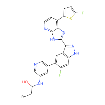 CC(C)CC(O)Nc1cncc(-c2cc3c(-c4nc5c(-c6ccc(F)s6)ccnc5[nH]4)n[nH]c3cc2F)c1